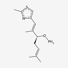 CC(C)=CC[C@H](OP)/C(C)=C/c1csc(C)n1